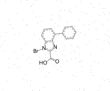 O=C(O)c1nc2c(-c3ccccc3)cccc2n1Br